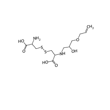 C=CCOCC(O)CNC(CSSCC(N)C(=O)O)C(=O)O